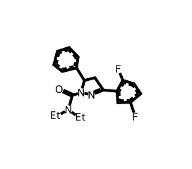 CCN(CC)C(=O)N1N=C(c2cc(F)ccc2F)CC1c1ccccc1